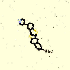 CCCCCCc1ccc2cc3sc4c5cc(-c6ccncc6)ccc5sc4c3cc2c1